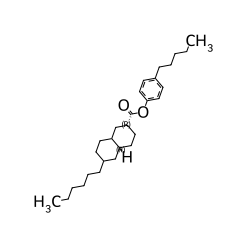 CCCCCCC1CCC2C[C@H](C(=O)Oc3ccc(CCCCC)cc3)CC[C@@H]2C1